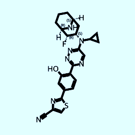 N#Cc1csc(-c2ccc(-c3ncc(N(C4CC4)[C@H]4C[C@@H]5CCC[C@@H](N5)[C@H]4F)nn3)c(O)c2)n1